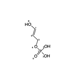 O=P(O)(O)OCC=CO